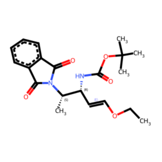 CCO/C=C/[C@@H](NC(=O)OC(C)(C)C)[C@H](C)N1C(=O)c2ccccc2C1=O